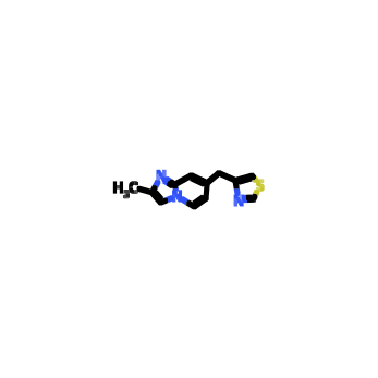 Cc1cn2ccc(Cc3cscn3)cc2n1